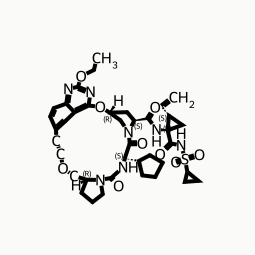 C=C[C@@H]1C[C@]1(NC(=O)[C@@H]1C[C@@H]2CN1C(=O)[C@H](C1CCCC1)NC(=O)N1CCC[C@@H]1COCCc1ccc3nc(OCC)nc(c3c1)O2)C(=O)NS(=O)(=O)C1CC1